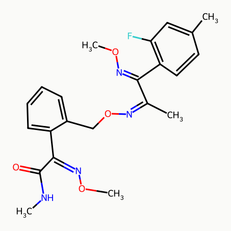 CNC(=O)C(=NOC)c1ccccc1CON=C(C)C(=NOC)c1ccc(C)cc1F